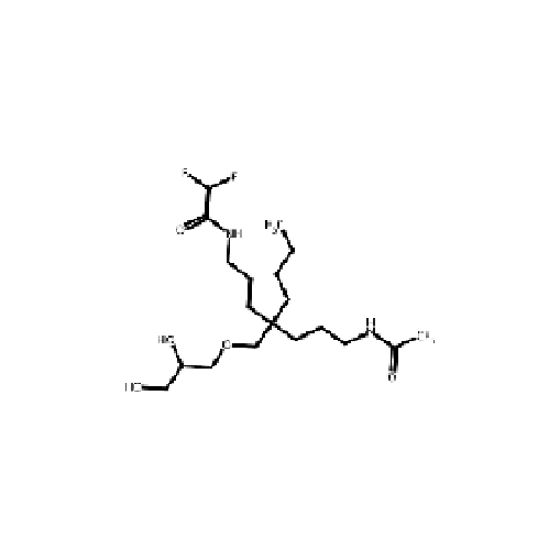 O=C(NCCCC(CCCNC(=O)C(F)(F)F)(CCCC(F)(F)F)COCC(O)CO)C(F)F